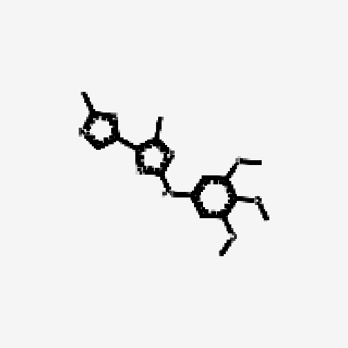 COc1cc(Nc2nc(-c3cnc(C)s3)c(C)s2)cc(OC)c1OC